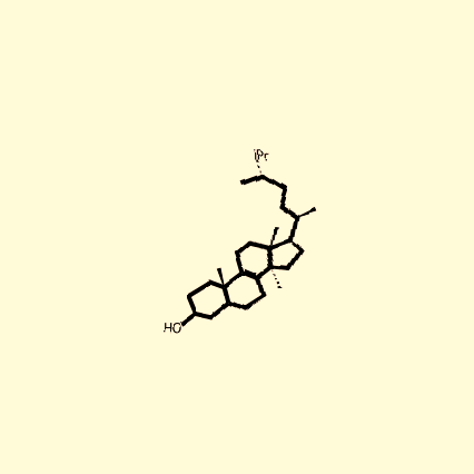 CC(C)[C@@H](C)CC[C@@H](C)[C@H]1CC[C@@]2(C)C3=C(CC[C@]12C)[C@@]1(C)CCC(O)CC1CC3